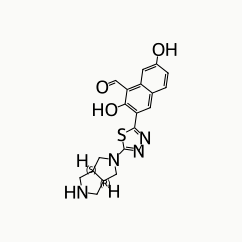 O=Cc1c(O)c(-c2nnc(N3C[C@H]4CNC[C@H]4C3)s2)cc2ccc(O)cc12